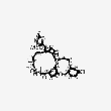 CO[C@@]1(Cc2nnc(C)o2)/C=C/C[C@H](C)[C@@H](C)S(=O)(=O)NC(=O)c2ccc3c(c2)N(CCCCc2cc(Cl)ccc2CO3)C[C@@H]2CC[C@H]21